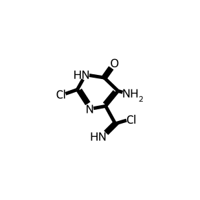 N=C(Cl)c1nc(Cl)[nH]c(=O)c1N